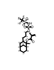 C=C(I)C(=O)OC1(C)C(CCCOS(=O)(=O)NS(=O)(=O)C(F)(F)F)CC2CCCC1C2